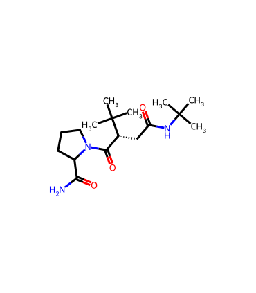 CC(C)(C)NC(=O)C[C@H](C(=O)N1CCCC1C(N)=O)C(C)(C)C